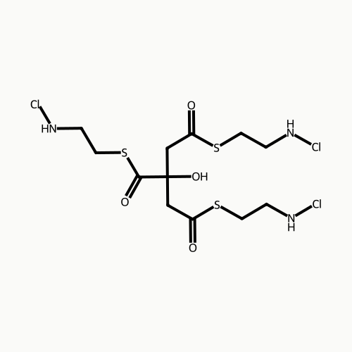 O=C(CC(O)(CC(=O)SCCNCl)C(=O)SCCNCl)SCCNCl